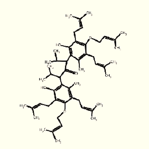 CC(C)=CCOc1c(CC=C(C)C)c(C)c(C(C(=O)C(c2c(C)c(CC=C(C)C)c(OCC=C(C)C)c(CC=C(C)C)c2O)C(C)C)C(C)C)c(O)c1CC=C(C)C